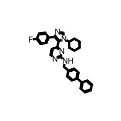 Fc1ccc(-c2ncn(C3CCCCC3)c2-c2ccnc(NCc3ccc(-c4ccccc4)cc3)n2)cc1